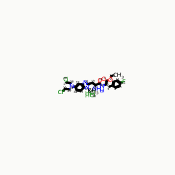 CCOC(=O)[C@H](Cc1ccc(F)cc1)NC(=O)[C@@H](N)Cc1nc2cc(N(CCCl)CCCl)ccc2n1C.Cl.Cl